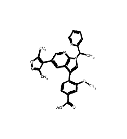 COc1cc(C(=O)O)ccc1-c1cn(C(C)c2ccccn2)c2ncc(-c3c(C)noc3C)cc12